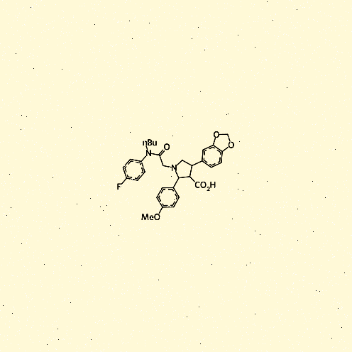 CCCCN(C(=O)CN1CC(c2ccc3c(c2)OCO3)C(C(=O)O)C1c1ccc(OC)cc1)c1ccc(F)cc1